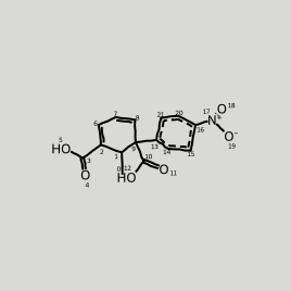 CC1C(C(=O)O)=CC=CC1(C(=O)O)c1ccc([N+](=O)[O-])cc1